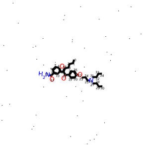 CCCCc1oc2ccc(C(N)=O)cc2c1C(=O)c1ccc(OCCCN(CCCC)CCCC)cc1